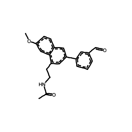 COc1ccc2cc(-c3cccc(C=O)c3)cc(CCNC(C)=O)c2c1